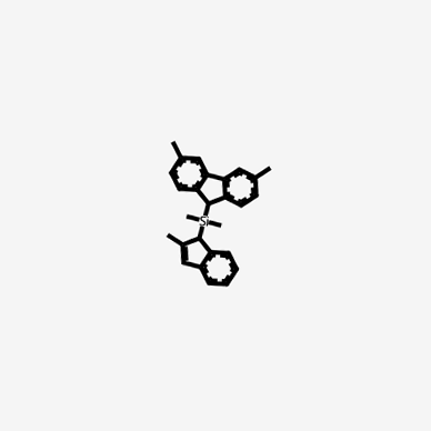 CC1=Cc2ccccc2C1[Si](C)(C)C1c2ccc(C)cc2-c2cc(C)ccc21